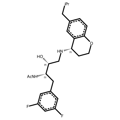 CC(=O)N[C@@H](Cc1cc(F)cc(F)c1)[C@H](O)CN[C@H]1CCOc2ccc(CC(C)C)cc21